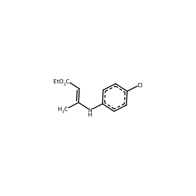 CCOC(=O)C=C(C)Nc1ccc(Cl)cc1